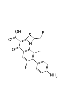 Nc1ccc(-c2c(F)cc3c(=O)c(C(=O)O)c4n(c3c2F)C(CF)S4)cc1